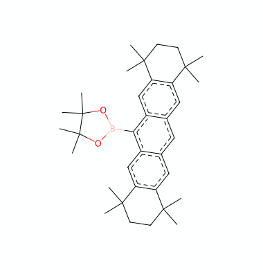 CC1(C)CCC(C)(C)c2cc3c(B4OC(C)(C)C(C)(C)O4)c4cc5c(cc4cc3cc21)C(C)(C)CCC5(C)C